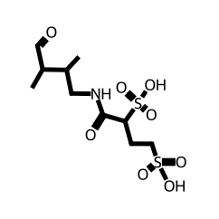 CC(C=O)C(C)CNC(=O)C(CCS(=O)(=O)O)S(=O)(=O)O